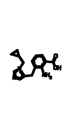 Nc1c(Cc2cncn2CC2CC2)cccc1C(=O)O